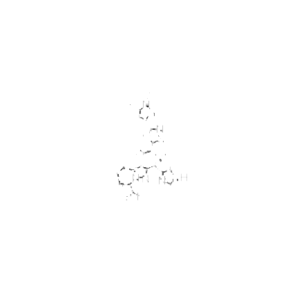 Cc1cc(-c2nnc(C(=O)N3CCc4[nH]cnc4C3c3cc4cccc(C(F)F)n4n3)o2)nn1C